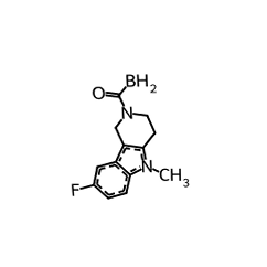 BC(=O)N1CCc2c(c3cc(F)ccc3n2C)C1